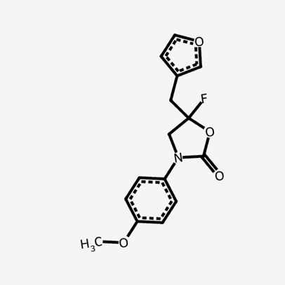 COc1ccc(N2CC(F)(Cc3ccoc3)OC2=O)cc1